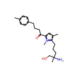 Cc1ccc(CCCC(=O)c2cc(C)c(CCCC(C)(N)CO)n2C)cc1